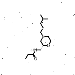 CCC(=O)NC[C@@H]1CN(CCCC(C)C)CCO1